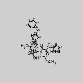 CCCC[C@@H](C(=O)C(=O)Nc1ccn[nH]1)N(C(=O)O)C(Cn1cnc(Cc2ccccc2)c1)C(C)(C)C